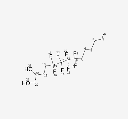 CCCCCCC(F)(F)C(F)(F)C(F)(F)C(F)(F)CCC(O)CO